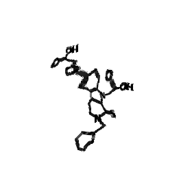 O=C(O)COc1ccc2c(c1)c1c(n2CC(=O)O)C(=S)N(Cc2ccccc2)CC1